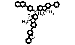 CC1(C)c2cc(-c3ccccc3)ccc2-c2ccc(N(c3ccc(-c4ccc5ccccc5c4)cc3)c3ccc4c(c3)C(C)(C)c3cc(-c5ccc6c(c5)oc5ccccc56)ccc3-4)cc21